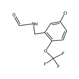 O=CNCc1cc(Cl)ccc1OC(F)(F)F